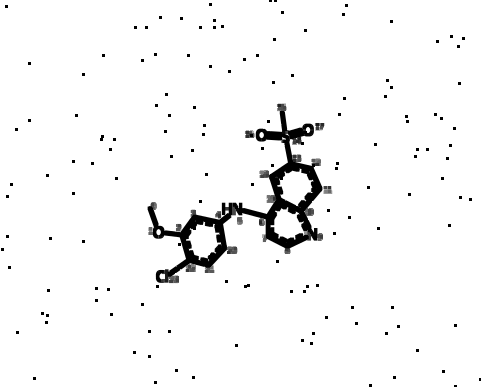 COc1cc(Nc2ccnc3ccc(S(C)(=O)=O)cc23)ccc1Cl